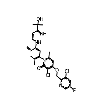 C=N/C(=C\C(=C(C)C)n1c(C)cc(OCc2ncc(F)cc2Cl)c(Cl)c1=O)N/C=C\C(=N)C(C)(C)O